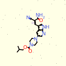 CC(C)COC(=O)N1CCN(c2cnc3[nH]cc(/C=C(/C#N)C(N)=O)c3c2)CC1